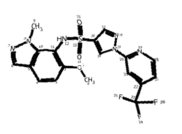 COc1ccc2cnn(C)c2c1NS(=O)(=O)c1cnn(-c2cc(C(F)(F)F)ccn2)c1